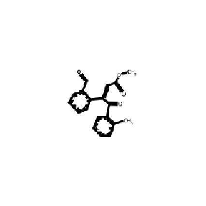 COC(=O)C=C(C(=O)c1ccccc1C)c1ccccc1[C]=O